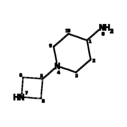 NC1CCN(C2CNC2)CC1